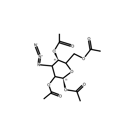 CC(=O)OCC1O[C@@H](OC(C)=O)C(OC(C)=O)C(N=[N+]=[N-])[C@H]1OC(C)=O